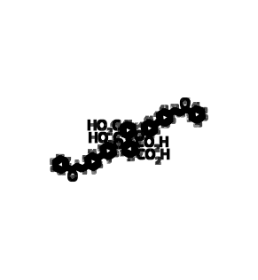 O=C(/C=C/c1ccc(-c2ccc(Oc3ccc(C(=O)O)c(C(=O)O)c3-c3c(Oc4ccc(-c5ccc(/C=C/C(=O)c6ccccc6)cc5)cc4)ccc(C(=O)O)c3C(=O)O)cc2)cc1)c1ccccc1